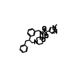 Cn1cc(S(=O)(=O)NCc2cccc(C(Cc3ccccc3)CN3CCOCC3)c2)cn1